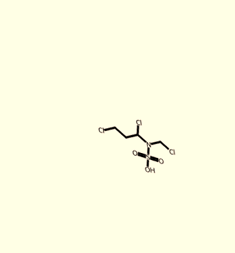 O=S(=O)(O)N(CCl)C(Cl)CCCl